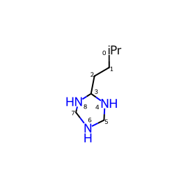 CC(C)CCC1NCNCN1